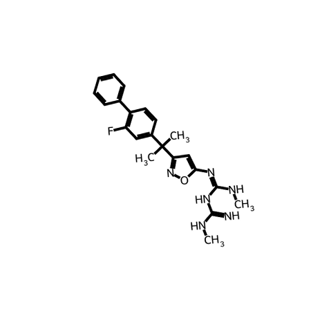 CNC(=N)NC(=Nc1cc(C(C)(C)c2ccc(-c3ccccc3)c(F)c2)no1)NC